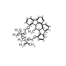 CC(C1c2ccccc2-c2cccc(OCO[Si](C)(C)C)c21)C1c2ccccc2-c2cccc(OCO[Si](C)(C)C)c21